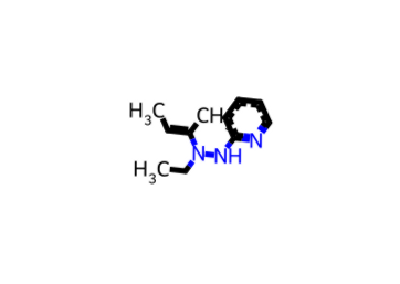 C/C=C(\C)N(CC)Nc1ccccn1